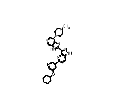 CN1CCN(c2cncc3[nH]c(-c4n[nH]c5ccc(-c6cncc(OC7CCCCC7)c6)nc45)nc23)CC1